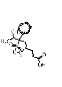 CC(C)C(CCCCC(=O)O)(c1ccccc1)S(C)(=O)=O